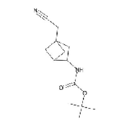 CC(C)(C)OC(=O)NC1CC2(CC#N)CC1C2